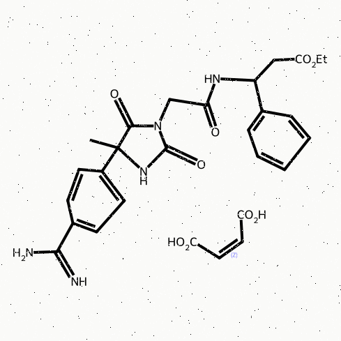 CCOC(=O)CC(NC(=O)CN1C(=O)NC(C)(c2ccc(C(=N)N)cc2)C1=O)c1ccccc1.O=C(O)/C=C\C(=O)O